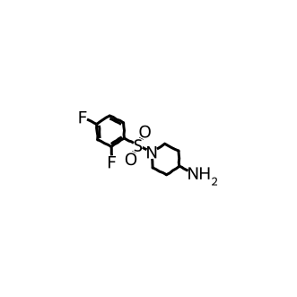 NC1CCN(S(=O)(=O)c2ccc(F)cc2F)CC1